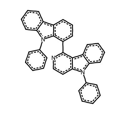 c1ccc(-n2c3ccccc3c3c(-c4cccc5c6ccccc6n(-c6ccccc6)c45)nccc32)cc1